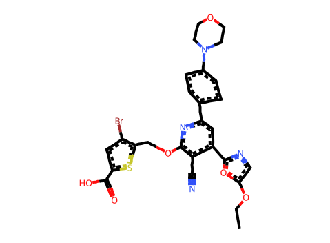 CCOc1cnc(-c2cc(-c3ccc(N4CCOCC4)cc3)nc(OCc3sc(C(=O)O)cc3Br)c2C#N)o1